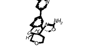 NC1=N[C@]2(CO1)c1cc(-c3cncc(F)c3)ccc1O[C@H]1COCC[C@@H]12